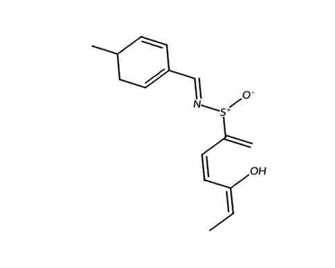 C=C(/C=C\C(O)=C/C)[S+]([O-])/N=C/C1=CCC(C)C=C1